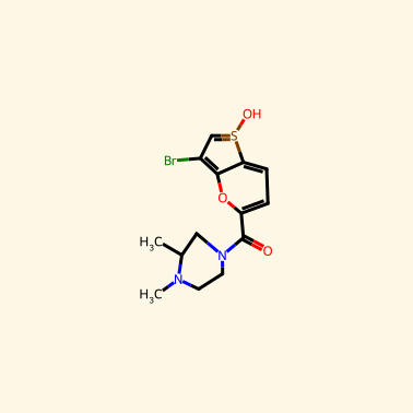 CC1CN(C(=O)C2=CC=C3C(=C(Br)C=S3O)O2)CCN1C